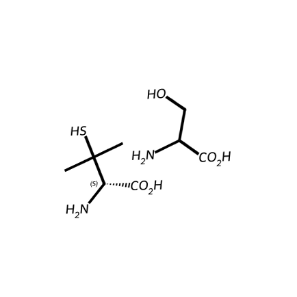 CC(C)(S)[C@@H](N)C(=O)O.NC(CO)C(=O)O